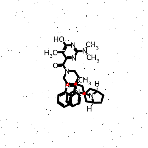 Cc1c(O)nc(N(C)C)nc1C(=O)N1CCC(CCN2[C@@H]3CC[C@H]2CC(n2c(C)nc4ccccc42)C3)(c2ccccc2)CC1